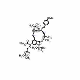 COc1ccc(COC2/C=C\[C@@H](C)[C@H](C)OC(=O)c3c(cc(N(OC[C@H]4COC(C)(C)O4)C(=O)OC(C)(C)C)cc3O[Si](C)(C)C(C)(C)C)/C=C/C[C@@H]3OC(C)(C)O[C@H]23)cc1